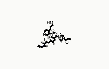 C#C/C=C(F)\C(F)=C(\F)Cc1nc2c(cc1F)c(N1C[C@@H](C)N(C(=O)C=C)C[C@@H]1C)nc(=O)n2-c1c(CCCO)ccnc1C(C)C